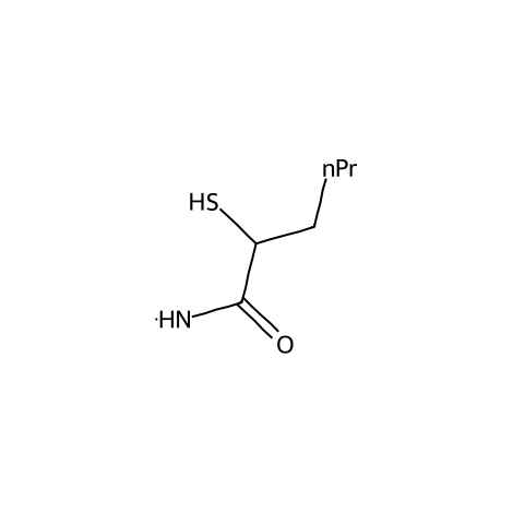 CCCCC(S)C([NH])=O